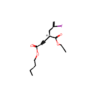 C=C(I)C[C@H](C#CC(=O)OCCCC)C(=O)OCC